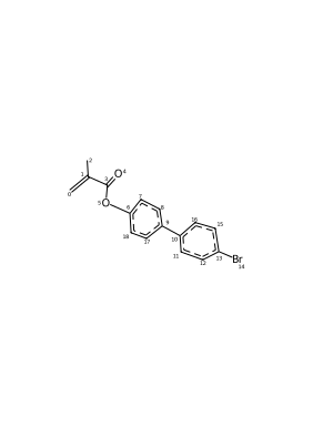 C=C(C)C(=O)Oc1ccc(-c2ccc(Br)cc2)cc1